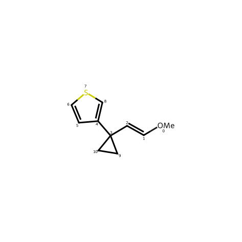 COC=CC1(c2ccsc2)CC1